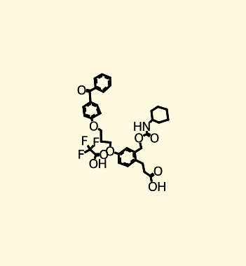 O=C(O)C(F)(F)F.O=C(O)CCc1ccc(OCCCOc2ccc(C(=O)c3ccccc3)cc2)cc1COC(=O)NC1CCCCC1